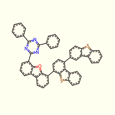 c1ccc(-c2nc(-c3ccccc3)nc(-c3cccc4c3oc3c(-c5ccc(-c6ccc7sc8ccccc8c7c6)c6c5sc5ccccc56)cccc34)n2)cc1